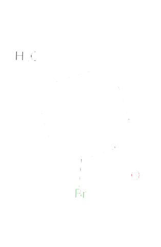 CC1CCCC(=O)C(Br)CC1